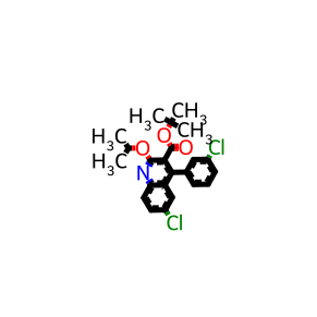 CC(C)Oc1nc2ccc(Cl)cc2c(-c2cccc(Cl)c2)c1C(=O)OC(C)(C)C